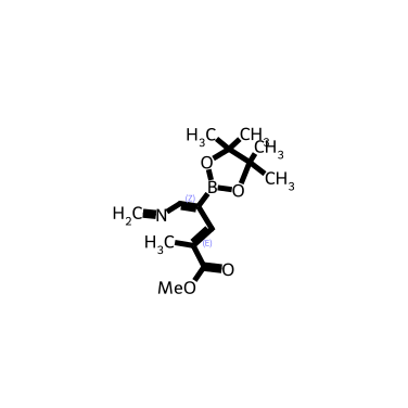 C=N/C=C(\C=C(/C)C(=O)OC)B1OC(C)(C)C(C)(C)O1